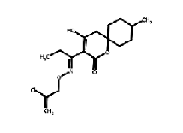 C=C(Cl)CON=C(CC)C1=C(O)CC2(CCC(C)CC2)OC1=O